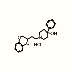 Cl.OC1(c2ccccc2)CCN(CCC2COc3ccccc3O2)CC1